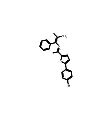 C/C(N)=C(/N=C(\C)c1ccc(-c2ccc(Br)cc2)s1)c1ccccc1